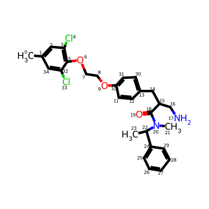 Cc1cc(Cl)c(OCCOc2ccc(CC(CN)C(=O)N(C)C(C)c3ccccc3)cc2)c(Cl)c1